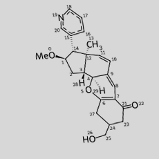 CO[C@@H]1C[C@H]2[C@@H]3OC4=C(C=C3C=C[C@]2(C)[C@H]1c1cccnc1)C(=O)CC(CO)C4